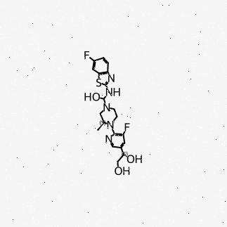 C[C@H]1CN(C(O)Nc2nc3ccc(F)cc3s2)CCN1c1ncc([C@H](O)CO)cc1F